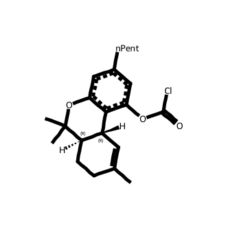 CCCCCc1cc(OC(=O)Cl)c2c(c1)OC(C)(C)[C@@H]1CCC(C)=C[C@@H]21